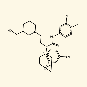 N#Cc1cccc([C@]23CC[C@@H](N(CCN4CCCC(CO)C4)C(=O)Nc4ccc(F)c(Cl)c4)CC2C3)c1